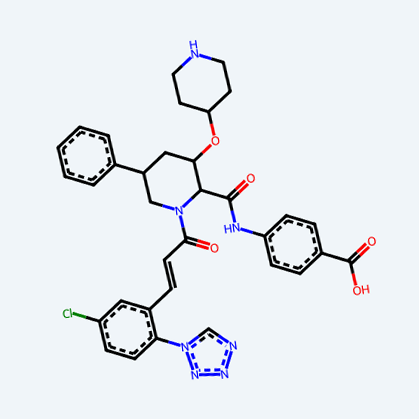 O=C(O)c1ccc(NC(=O)C2C(OC3CCNCC3)CC(c3ccccc3)CN2C(=O)C=Cc2cc(Cl)ccc2-n2cnnn2)cc1